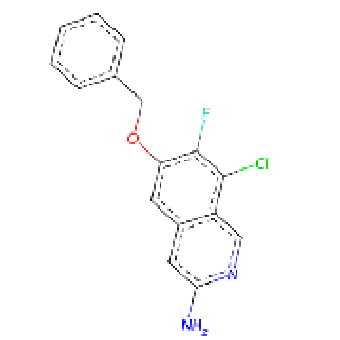 Nc1cc2cc(OCc3ccccc3)c(F)c(Cl)c2cn1